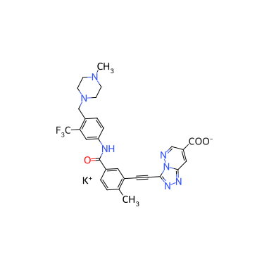 Cc1ccc(C(=O)Nc2ccc(CN3CCN(C)CC3)c(C(F)(F)F)c2)cc1C#Cc1nnc2cc(C(=O)[O-])cnn12.[K+]